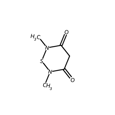 CN1SN(C)C(=O)CC1=O